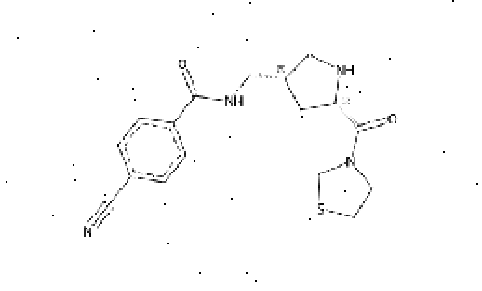 N#Cc1ccc(C(=O)NC[C@@H]2CN[C@H](C(=O)N3CCSC3)C2)cc1